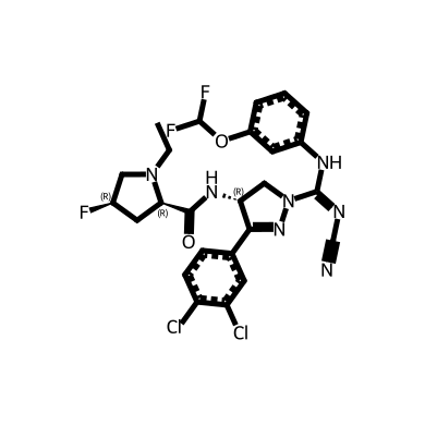 CCN1C[C@H](F)C[C@@H]1C(=O)N[C@@H]1CN(C(=NC#N)Nc2cccc(OC(F)F)c2)N=C1c1ccc(Cl)c(Cl)c1